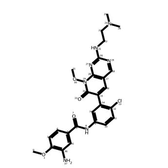 COc1ccc(C(=O)Nc2ccc(Cl)c(-c3cc4cnc(NCCN(C)C)nc4n(OC)c3=O)c2)cc1N